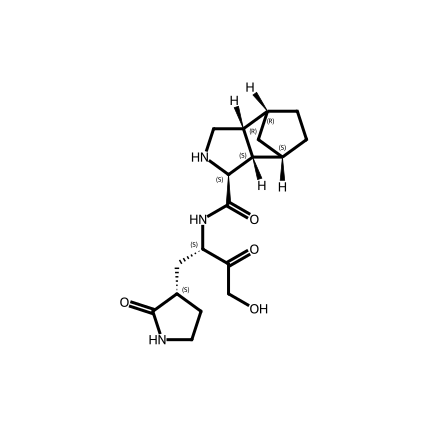 O=C1NCC[C@H]1C[C@H](NC(=O)[C@H]1NC[C@@H]2[C@@H]3CC[C@@H](C3)[C@@H]21)C(=O)CO